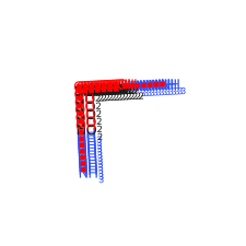 N.N.N.N.N.N.N.N.N.N.N.N.N.N.N.N.N.N.N.N.N.N.N.N.N.N.N.N.O=[N+]([O-])O.O=[N+]([O-])O.O=[N+]([O-])O.O=[N+]([O-])O.O=[N+]([O-])O.O=[N+]([O-])O.O=[N+]([O-])O.O=[N+]([O-])O.O=[N+]([O-])O.O=[N+]([O-])O.O=[N+]([O-])O.O=[N+]([O-])O.O=[N+]([O-])O.O=[N+]([O-])O.O=[N+]([O-])O.O=[N+]([O-])O.O=[N+]([O-])O.O=[N+]([O-])O.O=[N+]([O-])O.O=[N+]([O-])O